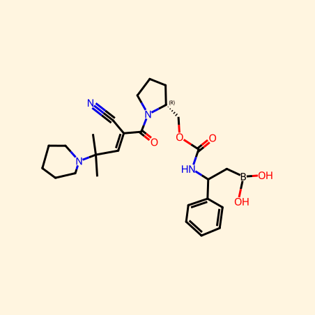 CC(C)(C=C(C#N)C(=O)N1CCC[C@@H]1COC(=O)NC(CB(O)O)c1ccccc1)N1CCCCC1